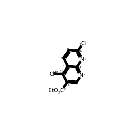 CCOC(=O)c1cnc2nc(Cl)ccc2c1Cl